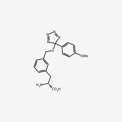 COc1ccc(C2(SCc3cccc(C[C@H](N)C(=O)O)c3)N=NN=N2)cc1